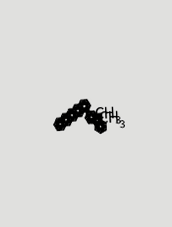 CC1(C)c2ccccc2-c2ccc(C3CC=Cc4cc5cc6cc7ccccc7cc6cc5cc43)cc21